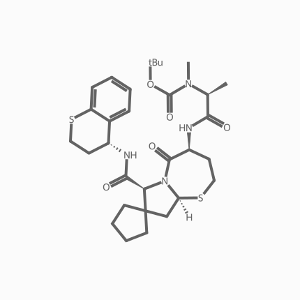 C[C@@H](C(=O)N[C@H]1CCS[C@H]2CC3(CCCC3)[C@@H](C(=O)N[C@@H]3CCSc4ccccc43)N2C1=O)N(C)C(=O)OC(C)(C)C